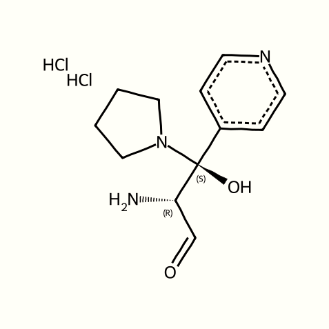 Cl.Cl.N[C@@H](C=O)[C@@](O)(c1ccncc1)N1CCCC1